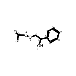 OC(COCC(F)F)c1ccccc1